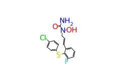 NC(=O)N(O)C/C=C/c1cccc(F)c1Sc1ccc(Cl)cc1